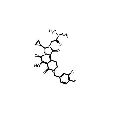 CN(C)C(=O)CN1C(=O)c2c3c(c(O)c(=O)n2C1C1CC1)C(=O)N(Cc1ccc(F)c(Cl)c1)CC3